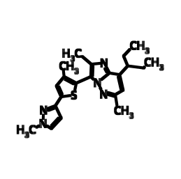 CCC(CC)c1cc(C)nn2c(-c3sc(-c4ccn(C)n4)cc3C)c(C)nc12